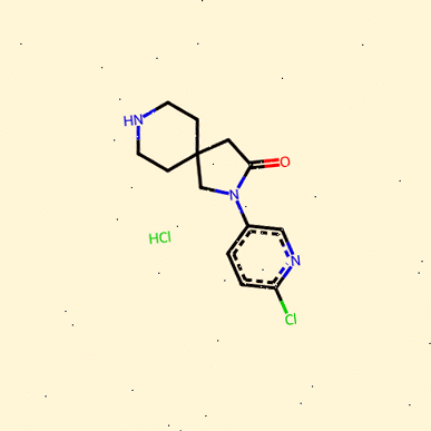 Cl.O=C1CC2(CCNCC2)CN1c1ccc(Cl)nc1